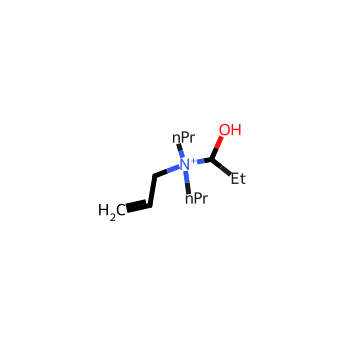 C=CC[N+](CCC)(CCC)C(O)CC